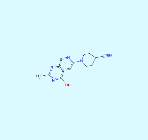 Cc1nc(O)c2cc(N3CCC(C#N)CC3)ncc2n1